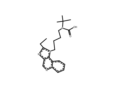 CCc1nc2cnc3ccccc3c2n1CCCCN(C(=O)O)C(C)(C)C